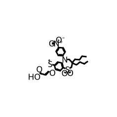 CCCCC1(CCCC)CN(c2ccc([N+](=O)[O-])cc2)c2cc(SC)c(O/C=C/C(=O)O)cc2S(=O)(=O)C1